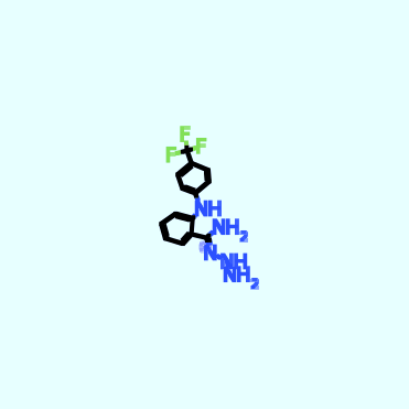 NN/N=C(\N)c1ccccc1Nc1ccc(C(F)(F)F)cc1